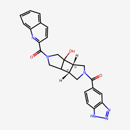 O=C(c1ccc2[nH]nnc2c1)N1C[C@@H]2C3CN(C(=O)c4ccc5ccccc5n4)CC3(O)[C@@H]2C1